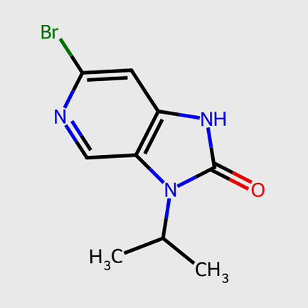 CC(C)n1c(=O)[nH]c2cc(Br)ncc21